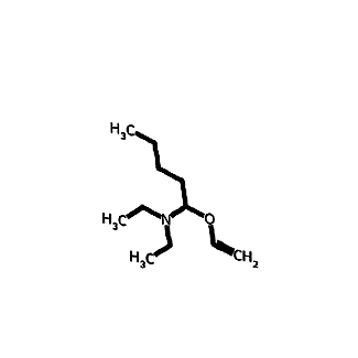 C=COC(CCCC)N(CC)CC